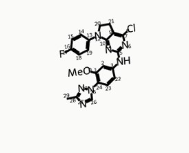 COc1cc(Nc2nc(Cl)c3c(n2)N(c2ccc(F)cc2)CC3)ccc1-n1cnc(C)n1